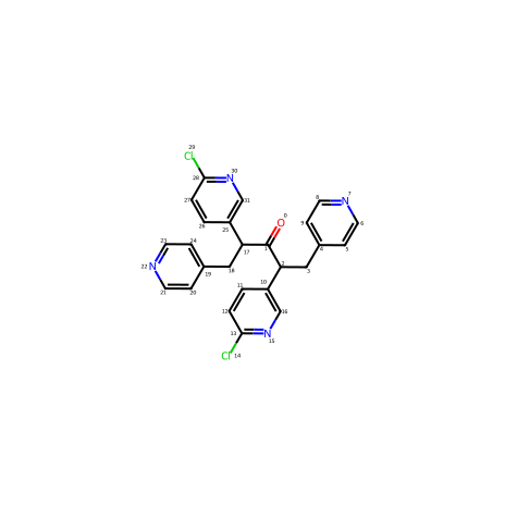 O=C(C(Cc1ccncc1)c1ccc(Cl)nc1)C(Cc1ccncc1)c1ccc(Cl)nc1